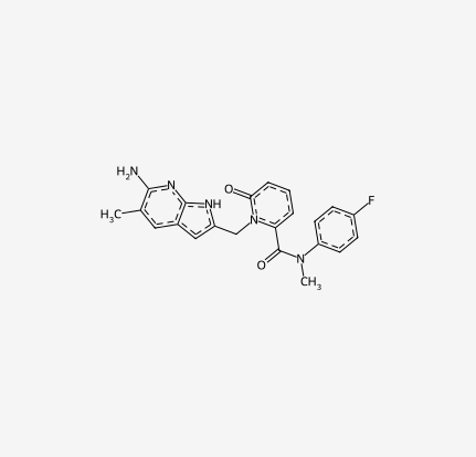 Cc1cc2cc(Cn3c(C(=O)N(C)c4ccc(F)cc4)cccc3=O)[nH]c2nc1N